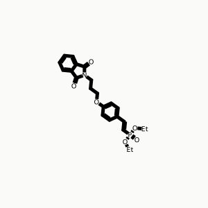 CCOP(=O)(C=Cc1ccc(OCCCN2C(=O)c3ccccc3C2=O)cc1)OCC